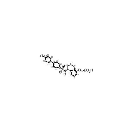 O=C(O)COc1cccc2c1CCCC2NS(=O)(=O)c1ccc(-c2ccc(Cl)cc2)cc1